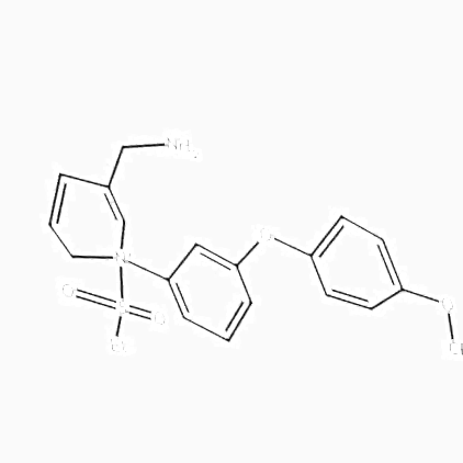 CCS(=O)(=O)[N+]1(c2cccc(Oc3ccc(OC(F)(F)F)cc3)c2)C=C(CN)C=CC1